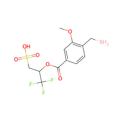 BCc1ccc(C(=O)OC(CS(=O)(=O)O)C(F)(F)F)cc1OC